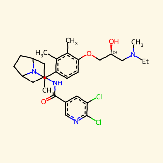 CCN(C)C[C@H](O)COc1ccc(C(C)N2C3CCC2CC(NC(=O)c2cnc(Cl)c(Cl)c2)C3)c(C)c1C